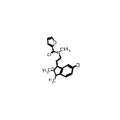 CC1c2ccc(Cl)cc2C(CCN(C)C(=O)c2ccco2)[C@@H]1C